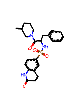 CC1CCCN(C(=O)C(Cc2ccccc2)NS(=O)(=O)c2ccc3c(c2)CCC(=O)N3)C1